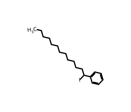 CCCCCCCCCCCCC(I)c1ccccc1